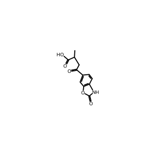 CC(CC(=O)c1ccc2[nH]c(=O)oc2c1)C(=O)O